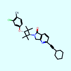 CC1(C)[C@H](Oc2ccc(C#N)c(Cl)c2)C(C)(C)[C@H]1N1Cc2nc(C#CC3CCCCC3)ccc2C1=O